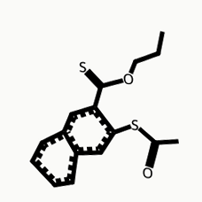 CCCOC(=S)c1cc2ccccc2cc1SC(C)=O